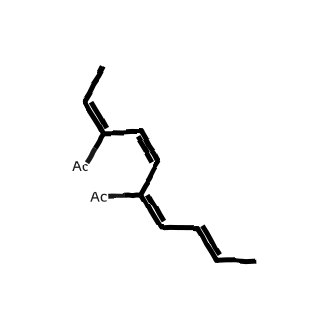 C/C=C/C=C(\C=C/C(=C\C)C(C)=O)C(C)=O